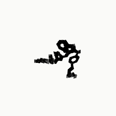 Cc1cc(Cn2c(NC3CCN(CCN)CC3)nc3ccccc32)on1.Cl.Cl.Cl.O